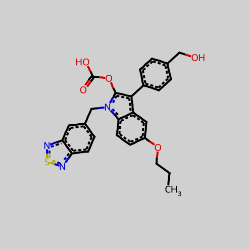 CCCOc1ccc2c(c1)c(-c1ccc(CO)cc1)c(OC(=O)O)n2Cc1ccc2nsnc2c1